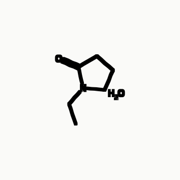 CCN1CCCC1=O.O